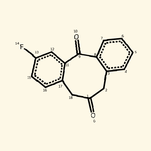 O=C1Cc2ccccc2C(=O)c2cc(F)ccc2C1